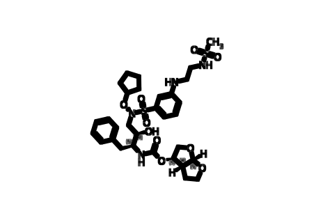 CS(=O)(=O)NCCNc1cccc(S(=O)(=O)N(C[C@@H](O)[C@H](Cc2ccccc2)NC(=O)O[C@@H]2CO[C@@H]3OCC[C@@H]32)OC2CCCC2)c1